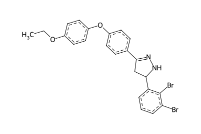 CCOc1ccc(Oc2ccc(C3=NNC(c4cccc(Br)c4Br)C3)cc2)cc1